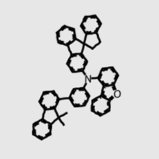 CC1(C)c2ccccc2-c2cccc(-c3cccc(N(c4ccc5c(c4)C4(CCc6ccccc64)c4ccccc4-5)c4cccc5oc6ccccc6c45)c3)c21